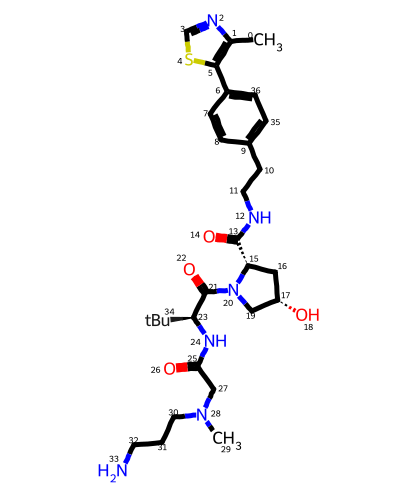 Cc1ncsc1-c1ccc(CCNC(=O)[C@@H]2C[C@H](O)CN2C(=O)[C@@H](NC(=O)CN(C)CCCN)C(C)(C)C)cc1